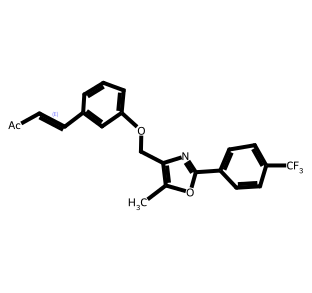 CC(=O)/C=C/c1cccc(OCc2nc(-c3ccc(C(F)(F)F)cc3)oc2C)c1